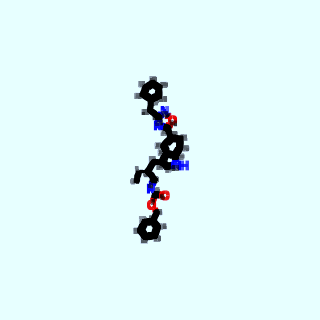 CC[C@@H](C=NC(=O)OCc1ccccc1)Cc1c[nH]c2ccc(-c3nc(Cc4ccccc4)no3)cc12